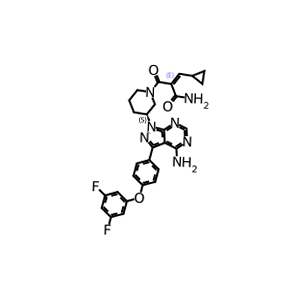 NC(=O)/C(=C\C1CC1)C(=O)N1CCC[C@H](n2nc(-c3ccc(Oc4cc(F)cc(F)c4)cc3)c3c(N)ncnc32)C1